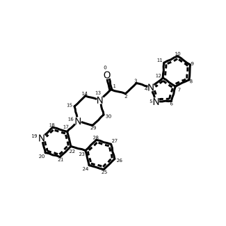 O=C(CCn1ncc2ccccc21)N1CCN(c2cnccc2-c2ccccc2)CC1